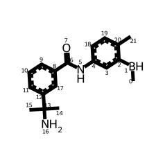 CBc1cc(NC(=O)c2cccc(C(C)(C)N)c2)ccc1C